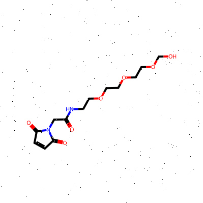 O=C(CN1C(=O)C=CC1=O)NCCOCCOCCOCO